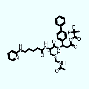 CC(=O)NCSC[C@@H](NC(=O)CCCCNc1ccccn1)C(=O)NC(CC(=O)OC(=O)C(F)(F)F)c1ccc(-c2ccccc2)cc1